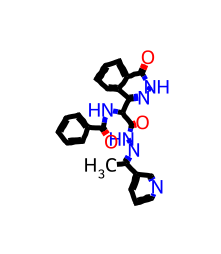 C/C(=N\NC(=O)C(NC(=O)c1ccccc1)c1n[nH]c(=O)c2ccccc12)c1cccnc1